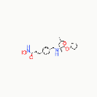 CC(C)C[C@@](C)(NCc1ccc(/C=C/C(=O)NO)cc1)C(=O)OC1CCCC1